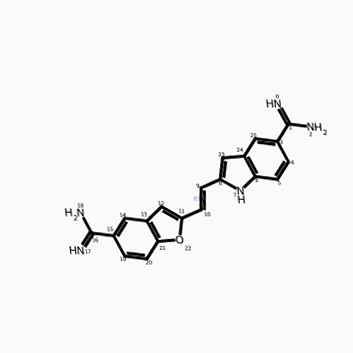 N=C(N)c1ccc2[nH]c(/C=C/c3cc4cc(C(=N)N)ccc4o3)cc2c1